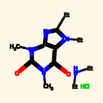 CCNCC.CCc1nc2c(c(=O)n(C)c(=O)n2C)n1CC.Cl